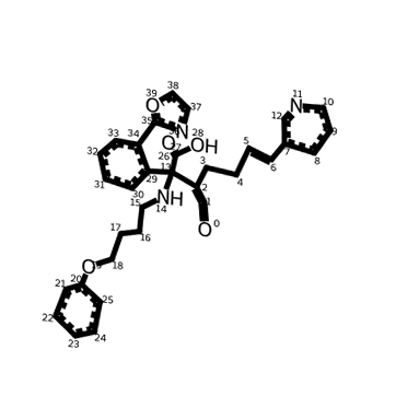 O=C=C(CCC=Cc1cccnc1)C(NCCCCOc1ccccc1)(C(=O)O)c1ccccc1-c1ncco1